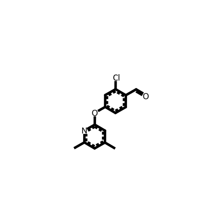 Cc1cc(C)nc(Oc2ccc(C=O)c(Cl)c2)c1